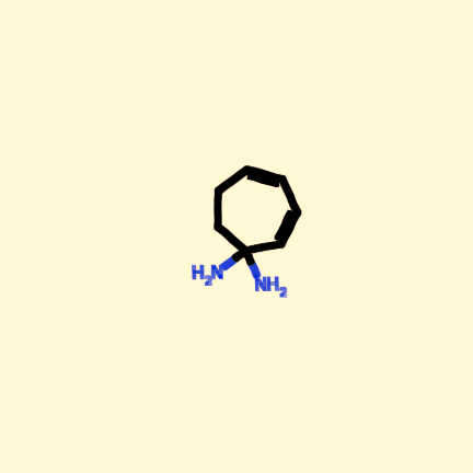 NC1(N)C=CC=CCC1